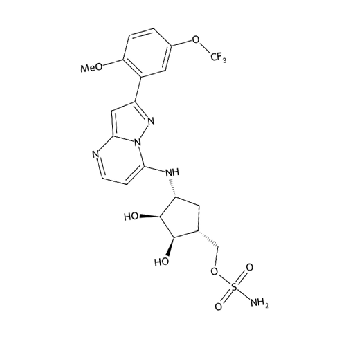 COc1ccc(OC(F)(F)F)cc1-c1cc2nccc(N[C@@H]3C[C@H](COS(N)(=O)=O)[C@@H](O)[C@H]3O)n2n1